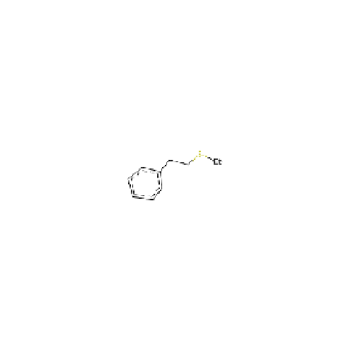 C[CH]SCCc1ccccc1